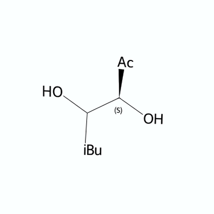 CCC(C)C(O)[C@H](O)C(C)=O